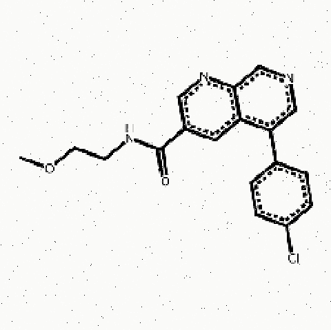 COCCNC(=O)c1cnc2cncc(-c3ccc(Cl)cc3)c2c1